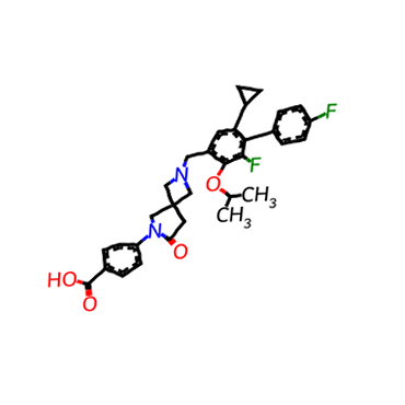 CC(C)Oc1c(CN2CC3(CC(=O)N(c4ccc(C(=O)O)cc4)C3)C2)cc(C2CC2)c(-c2ccc(F)cc2)c1F